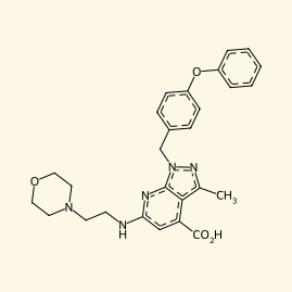 Cc1nn(Cc2ccc(Oc3ccccc3)cc2)c2nc(NCCN3CCOCC3)cc(C(=O)O)c12